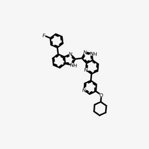 Fc1cccc(-c2cccc3[nH]c(-c4n[nH]c5ccc(-c6cncc(OC7CCCCC7)c6)nc45)nc23)c1